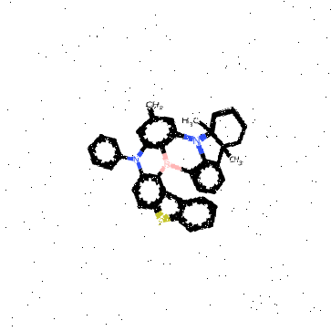 Cc1cc2c3c(c1)N1c4c(cccc4C4(C)CCCCC14C)B3c1c(ccc3sc4ccccc4c13)N2c1ccccc1